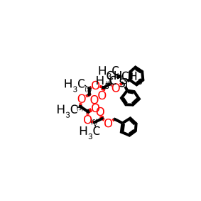 C[C@H](OC(=O)[C@H](C)OC(=O)[C@H](C)OC(=O)[C@H](C)O[Si](c1ccccc1)(c1ccccc1)C(C)(C)C)C(=O)OCc1ccccc1